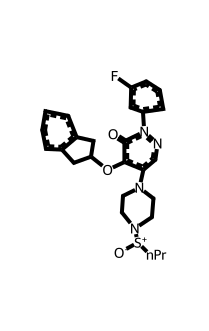 CCC[S+]([O-])N1CCN(c2cnn(-c3cccc(F)c3)c(=O)c2OC2Cc3ccccc3C2)CC1